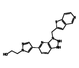 OCCn1cc(-c2ccc3c(n2)N(Cc2cc4cnccc4s2)NN3)cn1